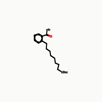 CCCCCCCCCCCCCCCCCCc1ccccc1C(=O)CCC